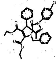 CCOC(=O)C1=C(C(=O)OCC)N(Cc2ccccc2)C2(C(=O)N(c3ccc(Cl)cc3)N=C2C)C1c1ccccc1